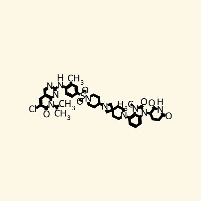 Cc1cc(S(=O)(=O)N2CCC(N3CC4(CCN(c5cccc6c5n(C)c(=O)n6C5CCC(=O)NC5=O)CC4)C3)CC2)ccc1Nc1ncc2cc(Cl)c(=O)n(C(C)C)c2n1